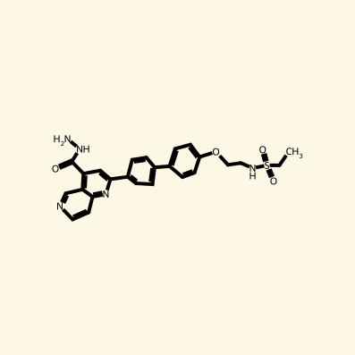 CCS(=O)(=O)NCCOc1ccc(-c2ccc(-c3cc(C(=O)NN)c4cnccc4n3)cc2)cc1